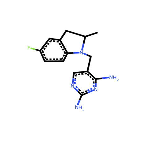 CC1Cc2cc(F)ccc2N1Cc1cnc(N)nc1N